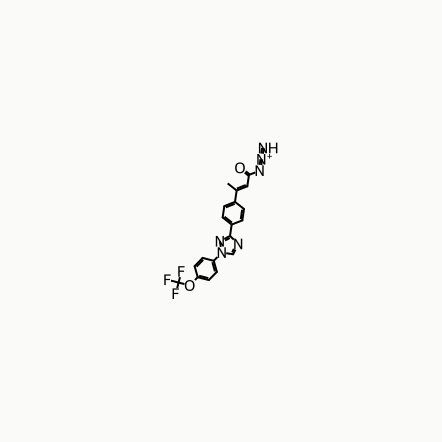 C/C(=C\C(=O)N=[N+]=N)c1ccc(-c2ncn(-c3ccc(OC(F)(F)F)cc3)n2)cc1